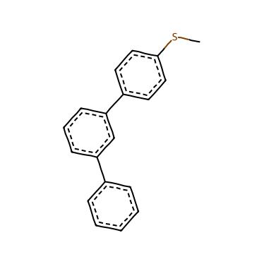 CSc1ccc(-c2cccc(-c3ccccc3)c2)cc1